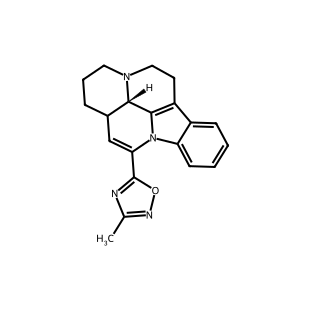 Cc1noc(C2=CC3CCCN4CCc5c(n2c2ccccc52)[C@H]34)n1